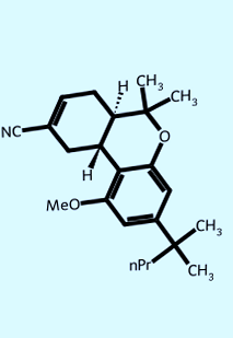 CCCC(C)(C)c1cc(OC)c2c(c1)OC(C)(C)[C@@H]1CC=C(C#N)C[C@@H]21